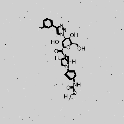 COC(=O)Nc1ccc(N2C[C@@H]3C[C@H]2CN3C(=O)[C@@H]2O[C@H](CO)[C@H](O)[C@H](n3cc(-c4cccc(F)c4)nn3)[C@H]2O)cc1